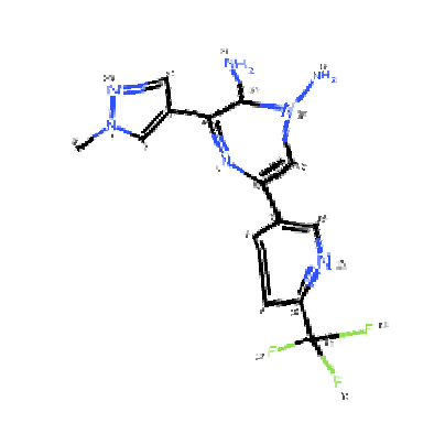 Cn1cc(C2=NC(c3ccc(C(F)(F)F)nc3)=CN(N)C2N)cn1